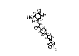 C=CC(=O)N1CCC(N2CCN(C(=O)CNc3cc(I)c(Cl)cc3O)CC2)C1